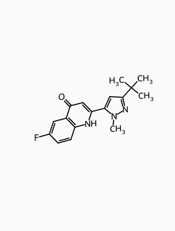 Cn1nc(C(C)(C)C)cc1-c1cc(=O)c2cc(F)ccc2[nH]1